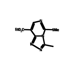 CCOC(=O)c1cnc(SC)n2c(C)nnc12